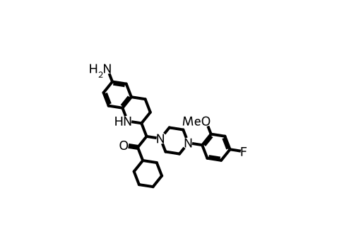 COc1cc(F)ccc1N1CCN(C(C(=O)C2CCCCC2)C2CCc3cc(N)ccc3N2)CC1